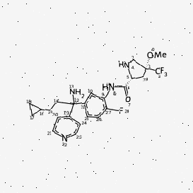 CO[C@@]1(C(F)(F)F)CN[C@@H](C(=O)Nc2cc(C(N)(CCC3CC3)c3ccncc3)ccc2F)C1